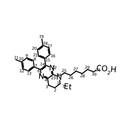 CC[C@@H]1CCc2nc(-c3ccc(C)cc3)c(-c3ccc(C)cc3)nc2N1CCCCCCC(=O)O